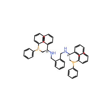 c1ccc([C@H](CP(c2ccccc2)c2ccccc2)NCc2ccccc2CN[C@@H](CP(c2ccccc2)c2ccccc2)c2ccccc2)cc1